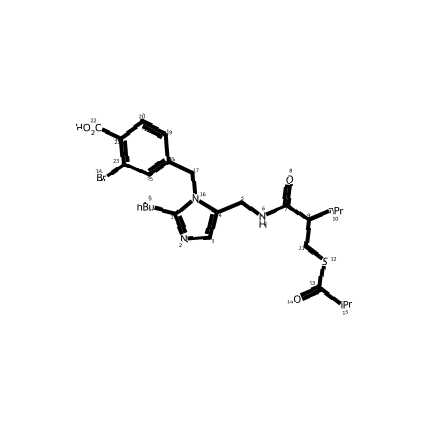 CCCCc1ncc(CNC(=O)C(CCC)CSC(=O)C(C)C)n1Cc1ccc(C(=O)O)c(Br)c1